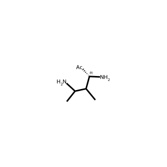 CC(=O)[C@H](N)C(C)C(C)N